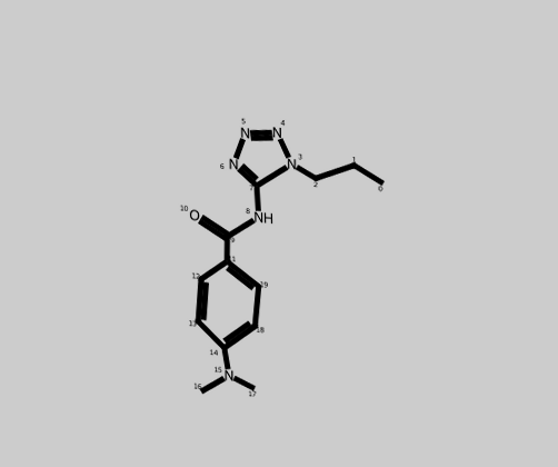 CCCn1nnnc1NC(=O)c1ccc(N(C)C)cc1